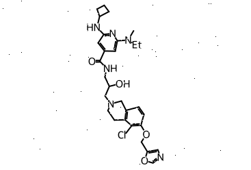 CCN(C)c1cc(C(=O)NCC(O)CN2CCc3c(ccc(OCc4cnco4)c3Cl)C2)cc(NC2CCC2)n1